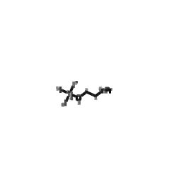 CCCCC[O][Ti]([I])([I])[I]